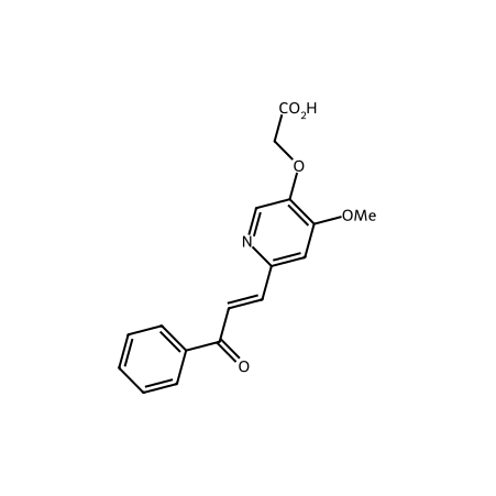 COc1cc(C=CC(=O)c2ccccc2)ncc1OCC(=O)O